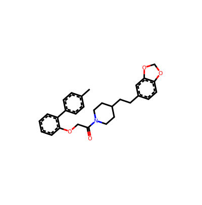 Cc1ccc(-c2ccccc2OCC(=O)N2CCC(CCc3ccc4c(c3)OCO4)CC2)cc1